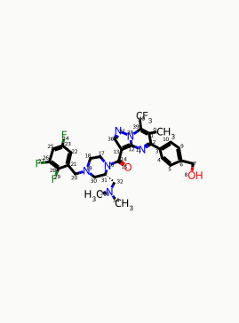 Cc1c(-c2ccc(CO)cc2)nc2c(C(=O)N3CCN(Cc4cc(F)cc(F)c4F)C[C@H]3CN(C)C)cnn2c1C(F)(F)F